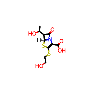 CC(O)C1C(=O)N2C(C(=O)O)=C(SCCO)S[C@H]12